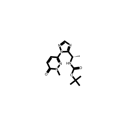 C[C@H](NC(=O)OC(C)(C)C)c1ncnn1-c1ccc(=O)n(C)n1